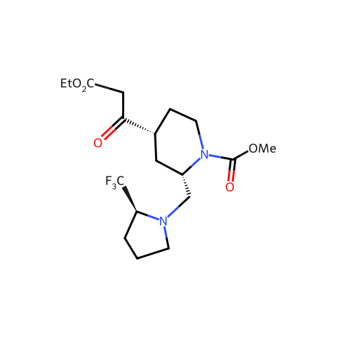 CCOC(=O)CC(=O)[C@@H]1CCN(C(=O)OC)[C@H](CN2CCC[C@H]2C(F)(F)F)C1